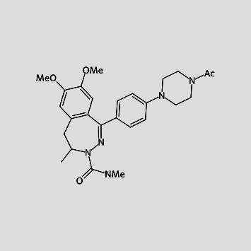 CNC(=O)N1N=C(c2ccc(N3CCN(C(C)=O)CC3)cc2)c2cc(OC)c(OC)cc2CC1C